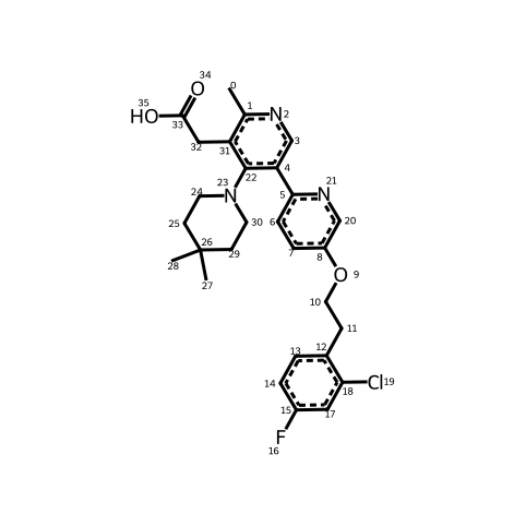 Cc1ncc(-c2ccc(OCCc3ccc(F)cc3Cl)cn2)c(N2CCC(C)(C)CC2)c1CC(=O)O